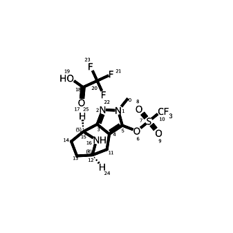 Cn1nc2c(c1OS(=O)(=O)C(F)(F)F)C[C@H]1CC[C@@H]2N1.O=C(O)C(F)(F)F